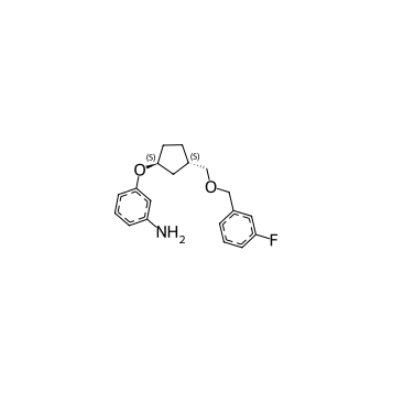 Nc1cccc(O[C@H]2CC[C@H](COCc3cccc(F)c3)C2)c1